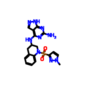 Cn1ccc(S(=O)(=O)N2CC(Nc3nc(N)nc4[nH]ncc34)Cc3ccccc32)n1